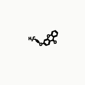 CC#COc1ccc2c(=O)c3ccccc3oc2c1